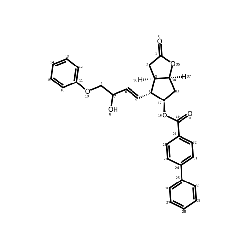 O=C1C[C@@H]2[C@@H](C=CC(O)COc3ccccc3)[C@H](OC(=O)c3ccc(-c4ccccc4)cc3)C[C@@H]2O1